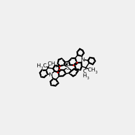 CC1(C)c2ccccc2N(c2ccccc2-c2ccc3c(c2)-c2ccccc2S32(=O)c3ccccc3-c3cc(-c4ccccc4N4c5ccccc5C(C)(C)c5ccccc54)ccc32)c2ccccc21